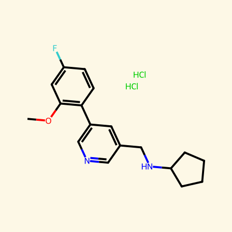 COc1cc(F)ccc1-c1cncc(CNC2CCCC2)c1.Cl.Cl